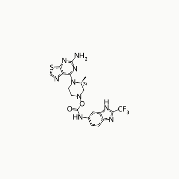 C[C@H]1CN(OC(=O)Nc2ccc3nc(C(F)(F)F)[nH]c3c2)CCN1c1nc(N)nc2scnc12